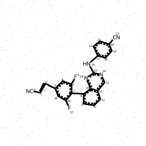 N#C/C=C/c1cc(F)c(-c2cccc3cnc(Nc4ccc(C#N)cc4)nc23)c(F)c1